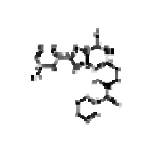 O=C(c1ccccc1)N1CCc2[nH]c(=O)n3cc(-c4cccc(Cl)c4)nc3c2C1